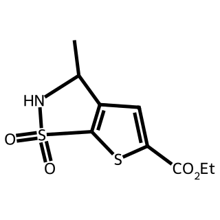 CCOC(=O)c1cc2c(s1)S(=O)(=O)NC2C